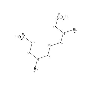 CCC(CCCC(CC)CC(=O)O)CCC(=O)O